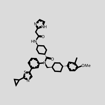 COc1ccc([C@H]2CC[C@H](CN(c3cccc(-c4cnc(C5CC5)s4)c3)C(=O)[C@H]3CC[C@H](NC(=O)Cc4ncc[nH]4)CC3)CC2)cc1C